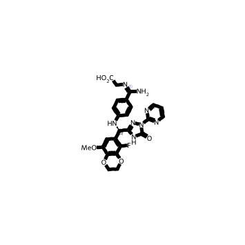 COc1cc([C@H](Nc2ccc(/C(N)=N\CC(=O)O)cc2)c2nn(-c3ncccn3)c(=O)[nH]2)c(F)c2c1OCCO2